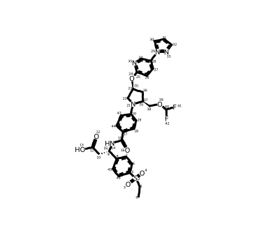 CCS(=O)(=O)c1ccc([C@H](CC(=O)O)NC(=O)c2ccc(N3C[C@@H](Oc4ccc(-n5cccn5)cn4)C[C@H]3COC(F)F)cc2)cc1